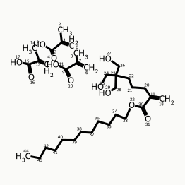 C=C(C)C(=O)O.C=C(C)C(=O)O.C=C(C)C(=O)O.C=C(CCCC(CO)(CO)CO)C(=O)OCCCCCCCCCCCC